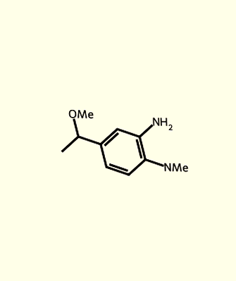 CNc1ccc(C(C)OC)cc1N